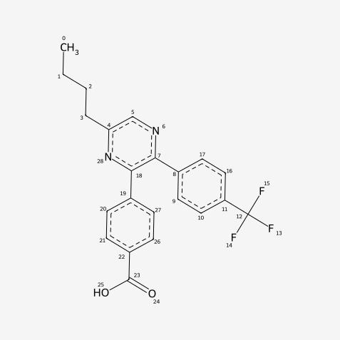 CCCCc1cnc(-c2ccc(C(F)(F)F)cc2)c(-c2ccc(C(=O)O)cc2)n1